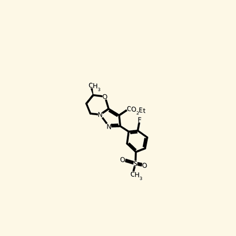 CCOC(=O)c1c(-c2cc(S(C)(=O)=O)ccc2F)nn2c1O[C@H](C)CC2